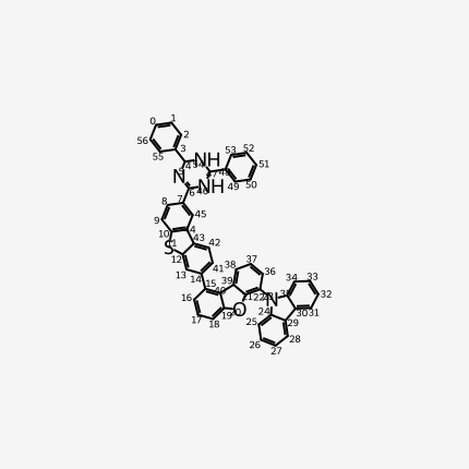 c1ccc(C2N=C(c3ccc4sc5cc(-c6cccc7oc8c(-n9c%10ccccc%10c%10ccccc%109)cccc8c67)ccc5c4c3)NC(c3ccccc3)N2)cc1